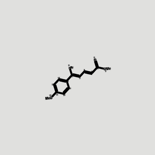 CCC/C(=C\C=C\C(=O)OC)c1ccc(OC)cc1